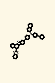 c1ccc(-c2ccc(N(c3ccc(-c4ccc5c(c4)sc4c6ccccc6c(-c6nc7ccccc7s6)cc54)cc3)c3ccc4ccccc4c3)cc2)cc1